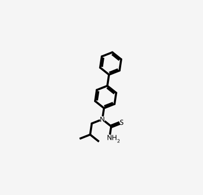 CC(C)CN(C(N)=S)c1ccc(-c2ccccc2)cc1